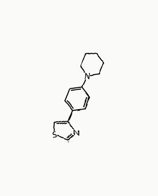 [c]1nc(-c2ccc(N3CCCCC3)cc2)cs1